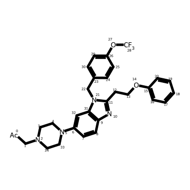 CC(=O)CN1CCN(c2ccc3nc(CCOc4ccccc4)n(Cc4ccc(OC(F)(F)F)cc4)c3c2)CC1